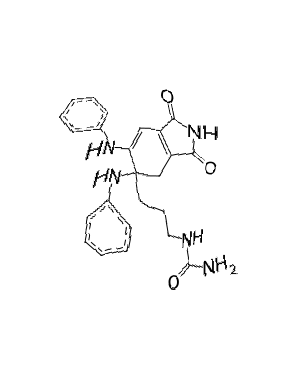 NC(=O)NCCCC1(Nc2ccccc2)CC2=C(C=C1Nc1ccccc1)C(=O)NC2=O